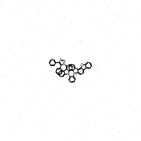 c1ccc(-c2nnn(-c3cccc4c3c3ccccc3n4-c3ccccc3-n3c4ccccc4c4c5oc6ccccc6c5ccc43)c2-c2ccccc2)cc1